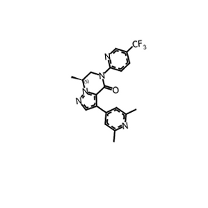 Cc1cc(-c2cnn3c2C(=O)N(c2ccc(C(F)(F)F)cn2)C[C@@H]3C)cc(C)n1